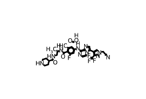 Cc1cc(Nc2nccn3c(-c4cn(CC#N)nc4C(F)(F)F)cnc23)cc(F)c1C(=O)N[C@H](C)CNC(=O)C1CCNCC1.O=CO